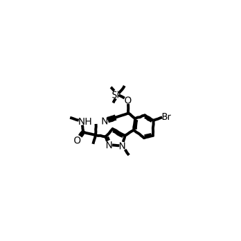 CNC(=O)C(C)(C)c1cc(-c2ccc(Br)cc2C(C#N)O[Si](C)(C)C)n(C)n1